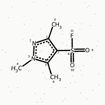 Cc1nn(C)c(C)c1S(=O)(=O)F